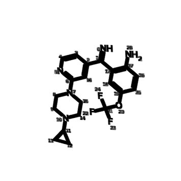 N=C(c1ccnc(N2CCN(C3CC3)CC2)c1)c1cc(OC(F)(F)F)ccc1N